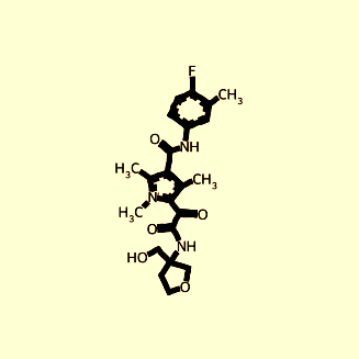 Cc1cc(NC(=O)c2c(C)c(C(=O)C(=O)NC3(CO)CCOC3)n(C)c2C)ccc1F